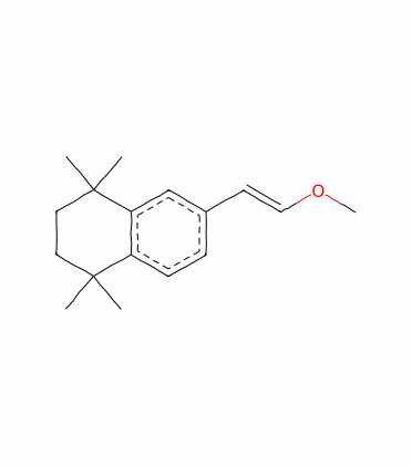 CO/C=C/c1ccc2c(c1)C(C)(C)CCC2(C)C